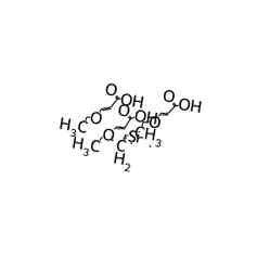 C=C[Si].CCOC=CC(=O)O.CCOC=CC(=O)O.CCOC=CC(=O)O